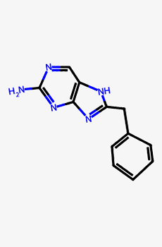 Nc1ncc2[nH]c(Cc3ccccc3)nc2n1